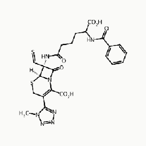 Cn1nnnc1C1=C(C(=O)O)N2C(=O)[C@@](C=S)(NC(=O)CCCC(NC(=O)c3ccccc3)C(=O)O)[C@@H]2SC1